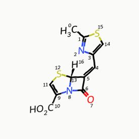 Cc1nc(/C=C2/C(=O)N3C(C(=O)O)=CS[C@H]23)cs1